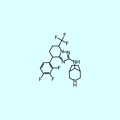 Fc1ccc(C2CCC(C(F)(F)F)n3nc(NC4C5CCC4CNC5)nc32)c(F)c1F